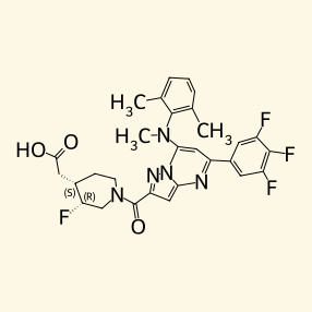 Cc1cccc(C)c1N(C)c1cc(-c2cc(F)c(F)c(F)c2)nc2cc(C(=O)N3CC[C@@H](CC(=O)O)[C@@H](F)C3)nn12